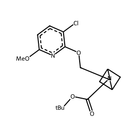 COc1ccc(Cl)c(OCC2C3CC(C3)N2C(=O)OC(C)(C)C)n1